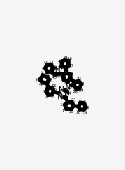 c1ccc(-c2cccc(-c3nc(-c4cccc(-c5ccccc5)c4)nc(-n4c5ccccc5c5cc6c7ccccc7n7c8ccccc8cc7c6cc54)n3)c2)cc1